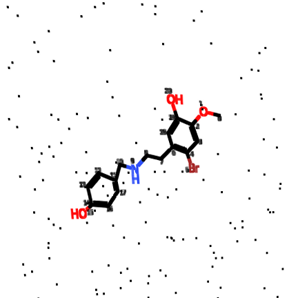 COc1cc(Br)c(CCNCc2ccc(O)cc2)cc1O